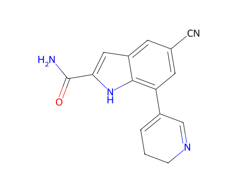 N#Cc1cc(C2=CCCN=C2)c2[nH]c(C(N)=O)cc2c1